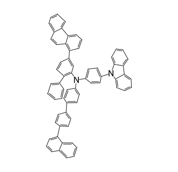 c1ccc(-c2ccc(-c3cccc4c3ccc3ccccc34)cc2N(c2ccc(-c3ccc(-c4cccc5ccccc45)cc3)cc2)c2ccc(-n3c4ccccc4c4ccccc43)cc2)cc1